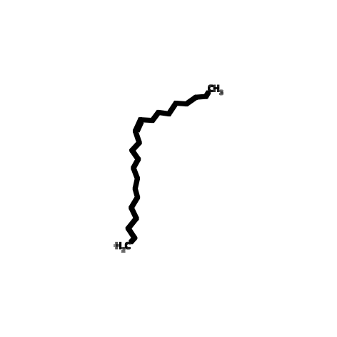 [CH2]CCCCCCCCCCC/C=C\CCCCCCCC